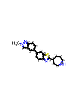 Cn1cc2cc(-c3ccc4nc(C5CCCNCC5)sc4c3)ccc2n1